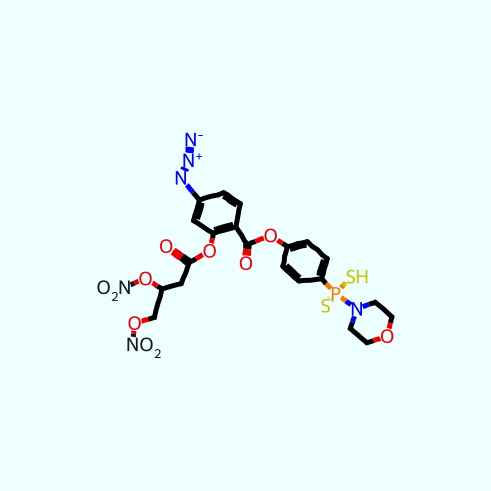 [N-]=[N+]=Nc1ccc(C(=O)Oc2ccc(P(=S)(S)N3CCOCC3)cc2)c(OC(=O)CC(CO[N+](=O)[O-])O[N+](=O)[O-])c1